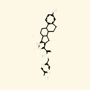 Cc1cnc(CNC(=O)c2[nH]nc3c2CC2C4CCc5cc(O)ccc5C4CC[C@]32C)cn1